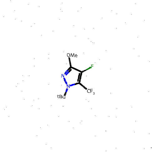 COc1nn(C(C)(C)C)c(C(F)(F)F)c1F